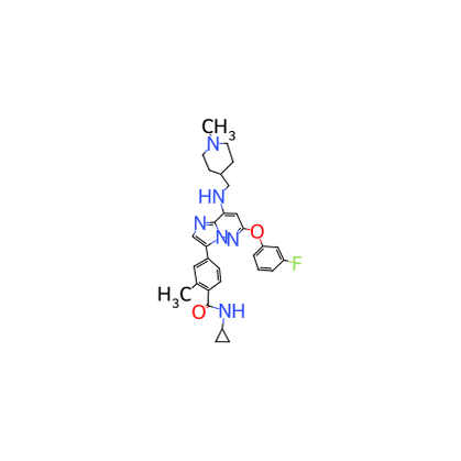 Cc1cc(-c2cnc3c(NCC4CCN(C)CC4)cc(Oc4cccc(F)c4)nn23)ccc1C(=O)NC1CC1